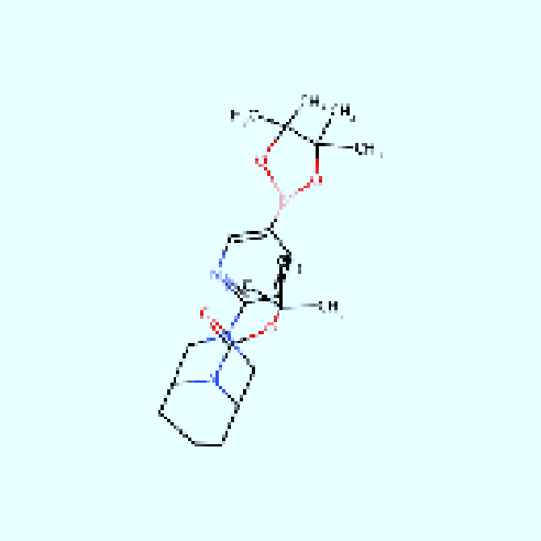 CC(C)(C)OC(=O)N1C2CCCC1CN(c1ccc(B3OC(C)(C)C(C)(C)O3)cn1)C2